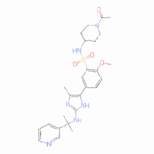 COc1ccc(-c2[nH]c(NC(C)(C)c3cccnc3)nc2C)cc1S(=O)(=O)NC1CCN(C(C)=O)CC1